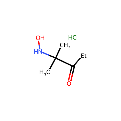 CCC(=O)C(C)(C)NO.Cl